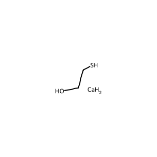 OCCS.[CaH2]